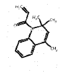 C=CC(=O)N1c2ccccc2C(C)=CC1(C)C